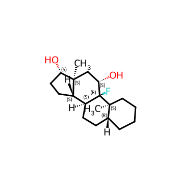 C[C@]12C[C@H](O)[C@@]3(F)[C@@H](CC[C@H]4CCCC[C@@]43C)[C@@H]1CC[C@@H]2O